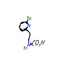 CCN(CCc1cccc(Br)n1)C(=O)O